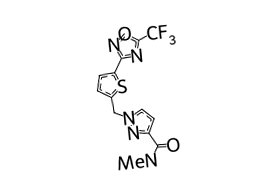 CNC(=O)c1ccn(Cc2ccc(-c3noc(C(F)(F)F)n3)s2)n1